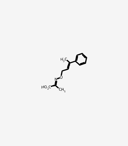 CC(=CCON=C(C)C(=O)O)c1ccccc1